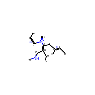 C=[N+](/C=C\C)C(C/C(C)=C/C)=C(CC)CNC